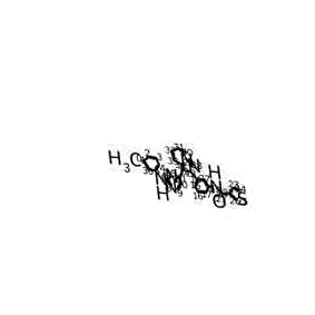 Cc1cccc(Nc2nccc(-c3c(-c4cccc(NC(=O)c5ccsc5)c4)nn4ccccc34)n2)c1